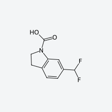 O=C(O)N1CCc2ccc(C(F)F)cc21